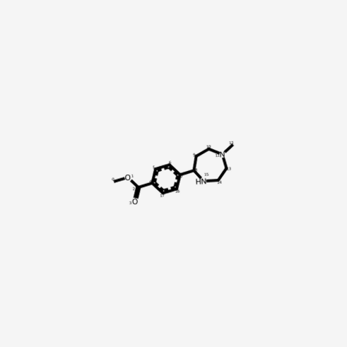 COC(=O)c1ccc(C2CCN(C)CCN2)cc1